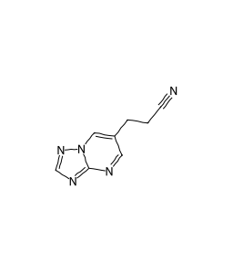 N#CCCc1cnc2ncnn2c1